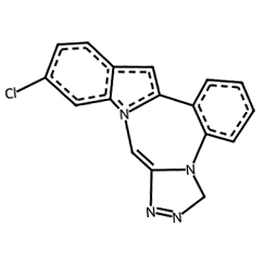 Clc1ccc2cc3n(c2c1)C=C1N=NCN1c1ccccc1-3